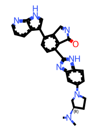 CN(C)[C@@H]1CCN(c2ccc3[nH]c(-c4ccc(-c5c[nH]c6ncccc56)c5c4C(=O)N=C5)nc3c2)C1